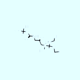 CCOC(C)(OCC)P(=O)(O)CC(=O)CNC(=O)OC(C)(C)C